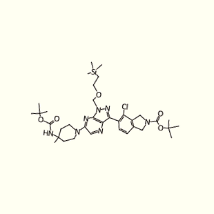 CC1(NC(=O)OC(C)(C)C)CCN(c2cnc3c(-c4ccc5c(c4Cl)CN(C(=O)OC(C)(C)C)C5)nn(COCC[Si](C)(C)C)c3n2)CC1